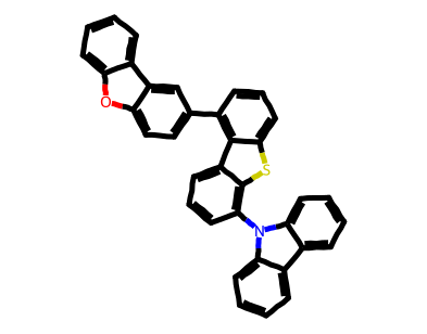 c1ccc2c(c1)oc1ccc(-c3cccc4sc5c(-n6c7ccccc7c7ccccc76)cccc5c34)cc12